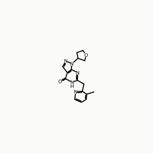 Cc1cccnc1Cc1nc2c(cnn2C2CCOC2)c(=O)[nH]1